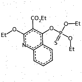 CCOC(=O)c1c(OCC)nc2ccccc2c1OP(=S)(OCC)OCC